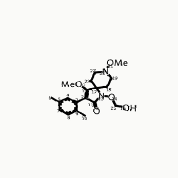 COC1=C(c2cc(C)ccc2C)C(=O)N(OCO)C12CCN(OC)CC2